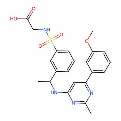 COc1cccc(-c2cc(NC(C)c3cccc(S(=O)(=O)NCC(=O)O)c3)nc(C)n2)c1